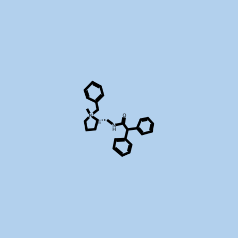 C[N+]1(Cc2ccccc2)CCC[C@H]1CNC(=O)C(c1ccccc1)c1ccccc1